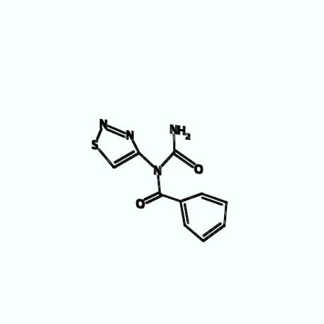 NC(=O)N(C(=O)c1ccccc1)c1csnn1